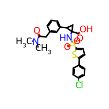 CN(C)C(=O)Cc1cccc(C2CC2(NS(=O)(=O)c2ccc(-c3ccc(Cl)cc3)s2)C(=O)O)c1